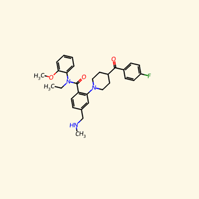 CCN(C(=O)c1ccc(CNC)cc1N1CCC(C(=O)c2ccc(F)cc2)CC1)c1ccccc1OC